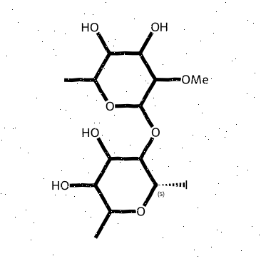 COC1C(OC2C(O)C(O)C(C)O[C@H]2I)OC(C)C(O)C1O